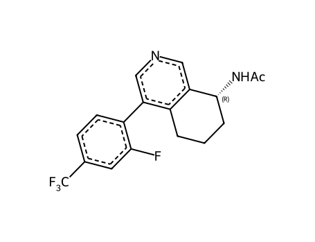 CC(=O)N[C@@H]1CCCc2c(-c3ccc(C(F)(F)F)cc3F)cncc21